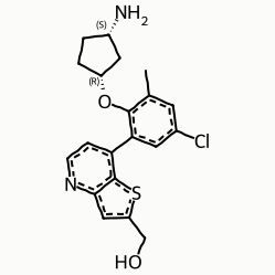 Cc1cc(Cl)cc(-c2ccnc3cc(CO)sc23)c1O[C@@H]1CC[C@H](N)C1